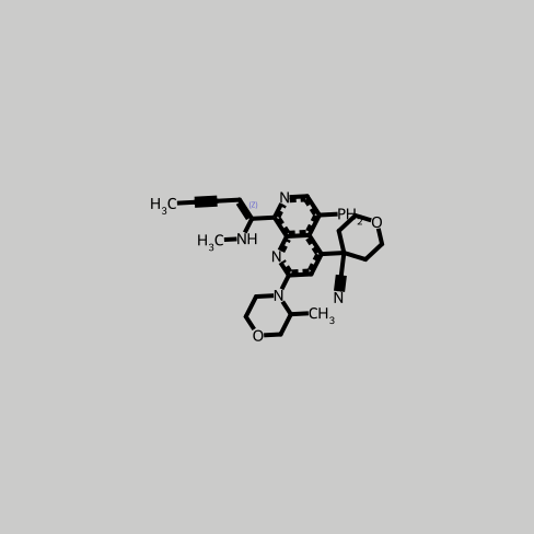 CC#C/C=C(\NC)c1ncc(P)c2c(C3(C#N)CCOCC3)cc(N3CCOCC3C)nc12